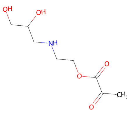 CC(=O)C(=O)OCCNCC(O)CO